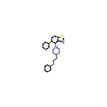 c1ccc(CCCC2CCN(c3c(-c4ccccc4)ccc4scnc34)CC2)cc1